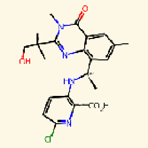 Cc1cc([C@@H](C)Nc2ccc(Cl)nc2C(=O)O)c2nc(C(C)(C)CO)n(C)c(=O)c2c1